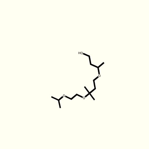 CC(C)OCCOC(C)(C)CCOC(C)CCO